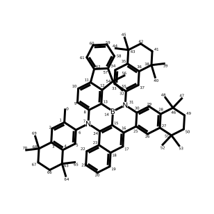 Cc1cc2c(cc1N1c3ccc4c(c3B3c5c(cc6ccccc6c51)-c1cc5c(cc1N3c1ccc3c(c1)C(C)(C)CCC3(C)C)C(C)(C)CCC5(C)C)C(C)(C)c1ccccc1-4)C(C)(C)CCC2(C)C